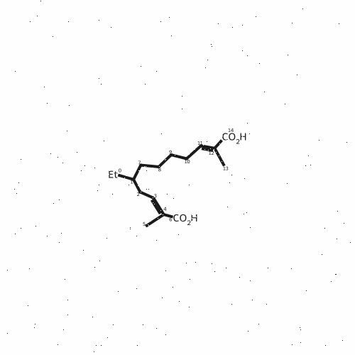 CCC(CC=C(C)C(=O)O)CCCCC=C(C)C(=O)O